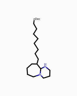 CCCCCCCCCCCCCCCCCCC1CCCCN2CCCNC12